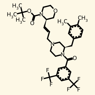 Cc1ccc(C[C@@H]2CN(CC=C[C@@H]3COCCN3C(=O)OC(C)(C)C)CCN2C(=O)c2cc(C(F)(F)F)cc(C(F)(F)F)c2)cc1C